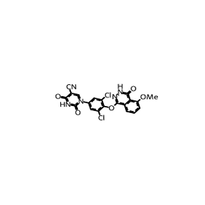 COc1cccc2c(Oc3c(Cl)cc(-n4cc(C#N)c(=O)[nH]c4=O)cc3Cl)n[nH]c(=O)c12